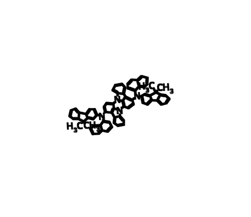 CC1(C)c2ccccc2-c2ccc(N(c3cccc4ccccc34)c3ccc4c5c3c3ccccc3n5c3ccc(N(c5ccc6c(c5)C(C)(C)c5ccccc5-6)c5cccc6ccccc56)c5c6ccccc6n4c53)cc21